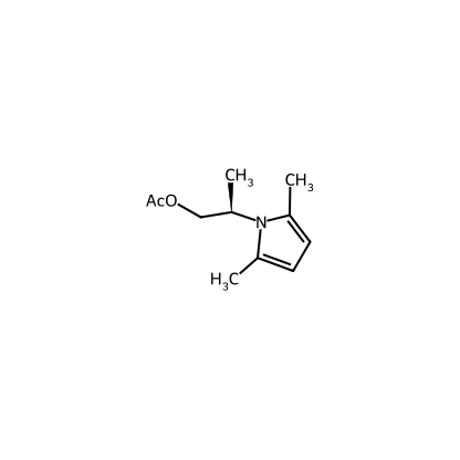 CC(=O)OC[C@@H](C)n1c(C)ccc1C